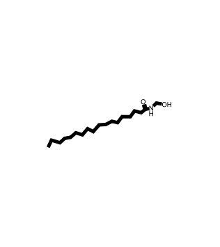 CCCCCCCCCCCCCCCCCC(=O)NCO